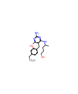 Cc1nc(N)nc(NC(C)CCCO)c1Cc1ccc(CC(=O)O)cc1O